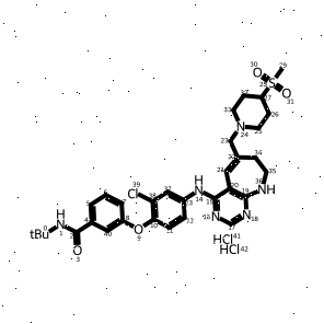 CC(C)(C)NC(=O)c1cccc(Oc2ccc(Nc3ncnc4c3C=C(CN3CCC(S(C)(=O)=O)CC3)CCN4)cc2Cl)c1.Cl.Cl